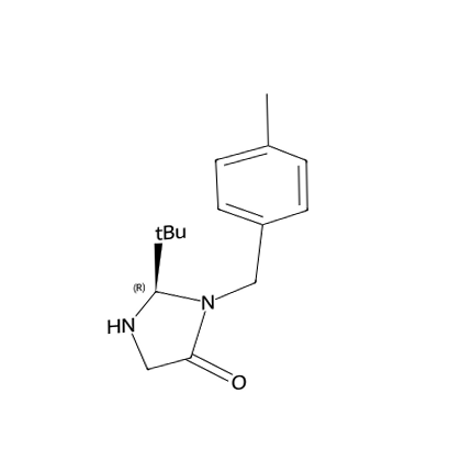 Cc1ccc(CN2C(=O)CN[C@H]2C(C)(C)C)cc1